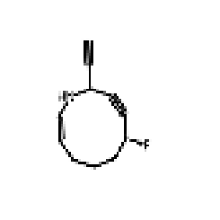 C#CC1C#C[C@@H](F)CCC/C=C\N1